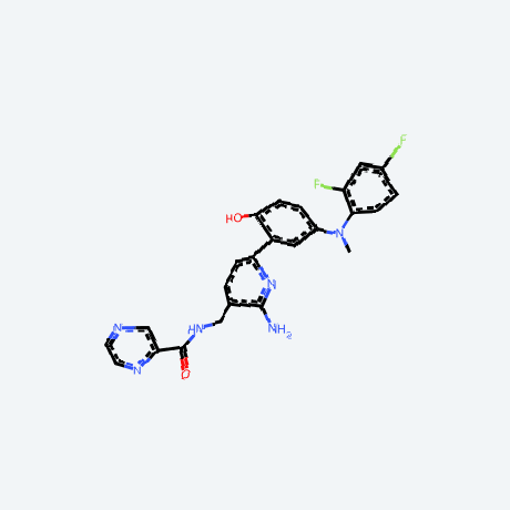 CN(c1ccc(O)c(-c2ccc(CNC(=O)c3cnccn3)c(N)n2)c1)c1ccc(F)cc1F